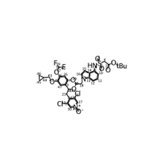 CC(C)(C)OC(=O)CS(=O)(=O)Nc1cccc2c1ccn2CC(=O)O[C@@H](Cc1c(Cl)c[n+]([O-])cc1Cl)c1ccc(OC(F)F)c(OCC2CC2)c1